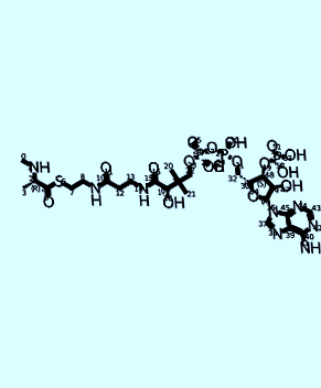 CN[C@H](C)C(=O)SCCNC(=O)CCNC(=O)[C@H](O)C(C)(C)COP(=O)(O)OP(=O)(O)OC[C@H]1O[C@@H](n2cnc3c(N)ncnc32)[C@H](O)[C@@H]1OP(=O)(O)O